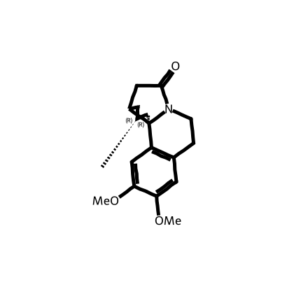 COc1cc2c(cc1OC)[C@@]13C[C@H](C)CC1CC(=O)N3CC2